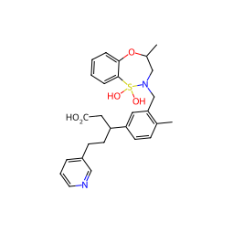 Cc1ccc(C(CCc2cccnc2)CC(=O)O)cc1CN1CC(C)Oc2ccccc2S1(O)O